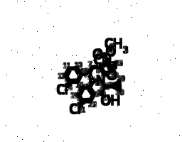 COC(=O)C1([C@@]2(C)C[C@H](c3cccc(Cl)c3)C(c3ccc(Cl)cc3)N([C@H](CO)C3CC3)C2=O)CC1